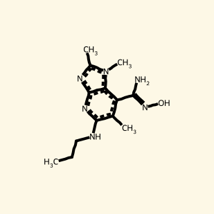 CCCNc1nc2nc(C)n(C)c2c(/C(N)=N/O)c1C